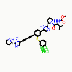 COC(=O)N[C@H](C(=O)N1CCC[C@H]1c1ncc(-c2ccc(C#CC#Cc3cnc([C@@H]4CCCN4)[nH]3)c(Sc3ccccc3)c2)[nH]1)C(C)C.Cl.Cl.Cl